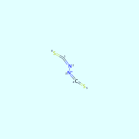 S=C=N[N+]=C=S